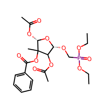 CCOP(=O)(CO[C@H]1O[C@@H](OC(C)=O)C(C)(OC(=O)c2ccccc2)C1OC(C)=O)OCC